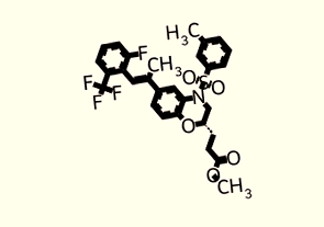 COC(=O)CC[C@H]1CN(S(=O)(=O)c2cccc(C)c2)c2cc(/C(C)=C/c3c(F)cccc3C(F)(F)F)ccc2O1